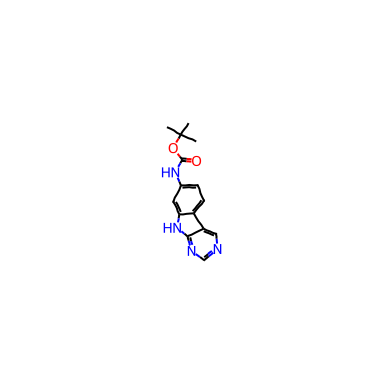 CC(C)(C)OC(=O)Nc1ccc2c(c1)[nH]c1ncncc12